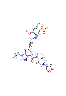 COc1cc(F)c(S(C)(=O)=O)cc1NCC#Cc1cc(C(=O)N[C@H]2CCN(C3CCOC3)C[C@@H]2C)c2ncn(CC(F)(F)F)c2c1